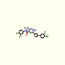 CN1SNC(c2cc(-c3ccc(Br)c(F)c3)cs2)CC1C(=O)Nc1ccc(F)c(Cl)c1